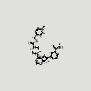 CNC(=O)c1cccc(-c2cc3c(N4CCN(C(=O)NCc5ccc(F)cc5)CC4)ncnc3[nH]2)c1